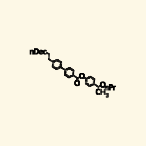 CCCCCCCCCCCCc1ccc(-c2ccc(C(=O)Oc3ccc(C(C)OCCC)cc3)cc2)cc1